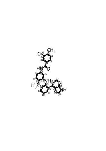 Cc1ccc(C(=O)Nc2ccc(C)c(Nc3ncccc3-c3ncnc4[nH]cnc34)c2)cc1Cl